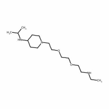 CCNCCOCCOCCN1CCC(NC(C)C)CC1